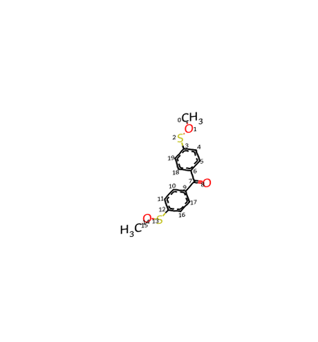 COSc1ccc(C(=O)c2ccc(SOC)cc2)cc1